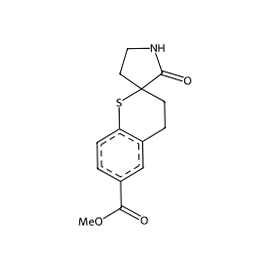 COC(=O)c1ccc2c(c1)CCC1(CCNC1=O)S2